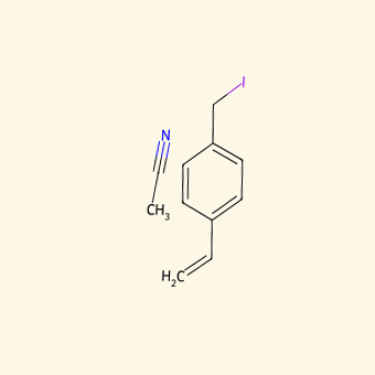 C=Cc1ccc(CI)cc1.CC#N